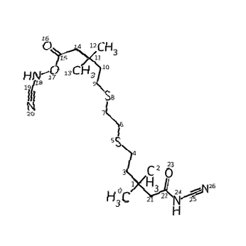 CC(C)(CCSCCSCCC(C)(C)CC(=O)ONC#N)CC(=O)NC#N